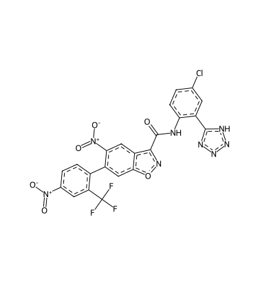 O=C(Nc1ccc(Cl)cc1-c1nnn[nH]1)c1noc2cc(-c3ccc([N+](=O)[O-])cc3C(F)(F)F)c([N+](=O)[O-])cc12